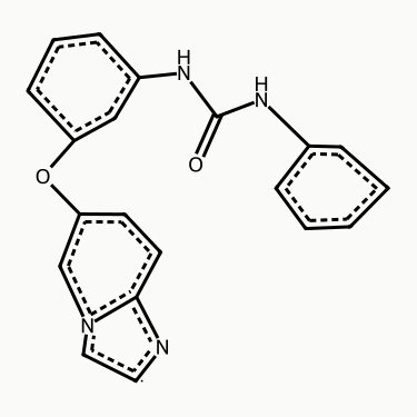 O=C(Nc1ccccc1)Nc1cccc(Oc2ccc3n[c]cn3c2)c1